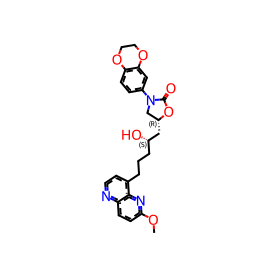 COc1ccc2nccc(CCC[C@H](O)C[C@@H]3CN(c4ccc5c(c4)OCCO5)C(=O)O3)c2n1